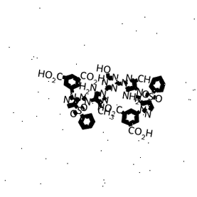 Cc1nn(-c2nc(O)nc(-n3nc(C)c(N=Nc4c(S(=O)(=O)c5ccccc5)cnn4-c4cc(C(=O)O)cc(C(=O)O)c4)c3N)n2)c(N)c1N=Nc1c(S(=O)(=O)c2ccccc2)cnn1-c1cc(C(=O)O)cc(C(=O)O)c1